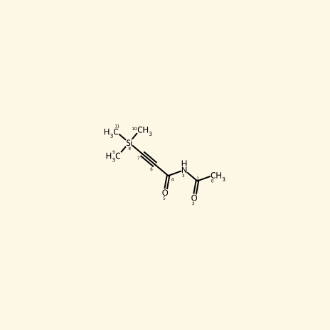 CC(=O)NC(=O)C#C[Si](C)(C)C